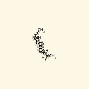 CCC=CCc1ncc(-c2ccc3c(c2)COc2cc4c(cc2-3)CCc2nc(CC=C(C)CC)[nH]c2-4)[nH]1